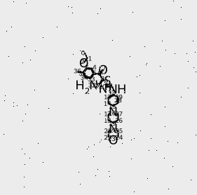 CCOc1cc(C(=O)c2sc(NC3=CCC(N4CCC(N5CCOCC5)CC4)C=C3)nc2N)ccc1C